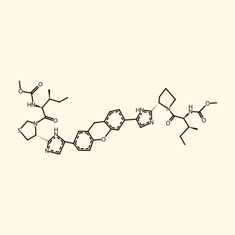 CC[C@H](C)[C@H](NC(=O)OC)C(=O)N1CCC[C@H]1c1ncc(-c2ccc3c(c2)Oc2ccc(-c4cnc([C@@H]5CSCN5C(=O)[C@@H](NC(=O)OC)[C@@H](C)CC)[nH]4)cc2C3)[nH]1